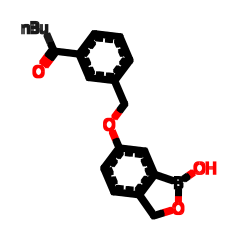 CCCCC(=O)c1cccc(COc2ccc3c(c2)B(O)OC3)c1